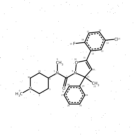 CN1CCC(N(C)C(=O)N2OC(c3cc(Cl)ccc3F)=CC2(C)c2ccccc2)CC1